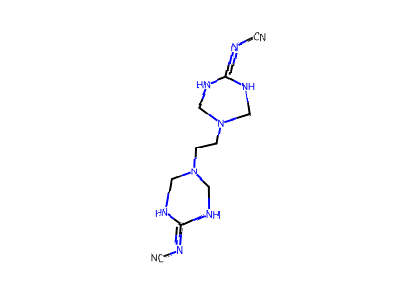 N#CN=C1NCN(CCN2CNC(=NC#N)NC2)CN1